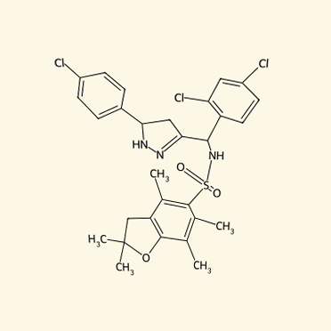 Cc1c(C)c(S(=O)(=O)NC(C2=NNC(c3ccc(Cl)cc3)C2)c2ccc(Cl)cc2Cl)c(C)c2c1OC(C)(C)C2